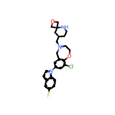 Fc1ccc2c(ccn2-c2cc(Cl)c3c(c2)CN(CC2CCNC4(COC4)C2)CCO3)c1